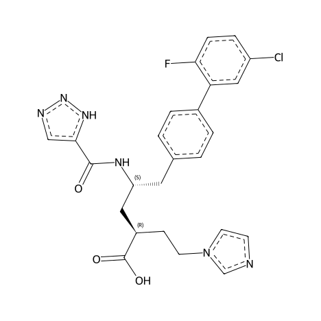 O=C(N[C@H](Cc1ccc(-c2cc(Cl)ccc2F)cc1)C[C@@H](CCn1ccnc1)C(=O)O)c1cnn[nH]1